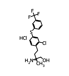 C[C@](N)(CO)CCc1ccc(Sc2cccc(C(F)(F)F)c2)cc1Cl.Cl